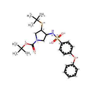 CC(C)(C)OC(=O)N1CC(NS(=O)(=O)c2ccc(Oc3ccccc3)cc2)C(SC(C)(C)C)C1